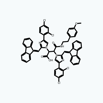 COc1ccc(CCNC(=O)C(C(C(=O)O)n2cc(-c3ccc(Cl)cc3Cl)nc2C=C2c3ccccc3-c3ccccc32)n2cc(-c3ccc(Cl)cc3Cl)nc2C=C2c3ccccc3-c3ccccc32)cc1